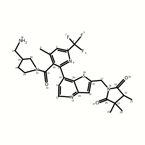 Cc1cc(C(F)(F)F)nc(-c2ccnc3cc(CN4C(=O)C(C)C(C)(C)C4=O)sc23)c1C(=O)N1CCC(CN)C1